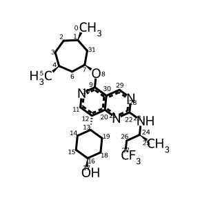 C[C@@H]1CC[C@H](C)C[C@H](Oc2ncc([C@H]3CC[C@H](O)CC3)c3nc(N[C@@H](C)CC(F)(F)F)ncc23)C1